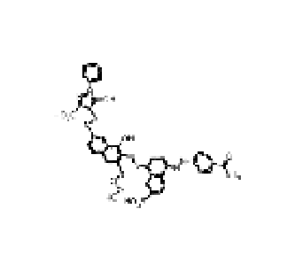 NC(=O)c1ccc(N=Nc2ccc(N=Nc3c(SOOO)cc4ccc(N=Nc5c(C(=O)O)nn(-c6ccccc6)c5O)cc4c3O)c3cc(S(=O)(=O)O)ccc23)cc1